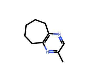 Cc1cnc2c(n1)CCCCC2